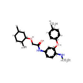 CCOC(=O)Nc1ccc(NC(=O)COC2CC(C)CCC2C(C)C)cc1Oc1ccc(C(=O)O)cc1